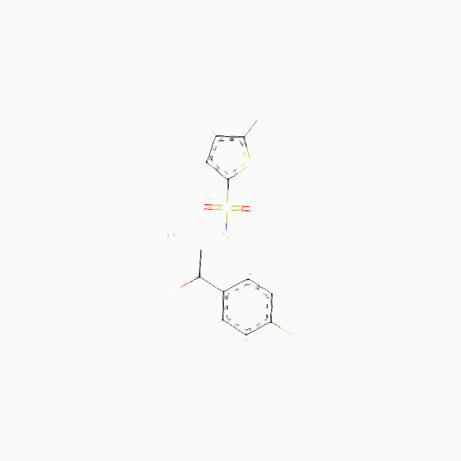 CC[C@H](C)[C@H](NS(=O)(=O)c1ccc(Cl)s1)C(O)c1ccc(F)cc1